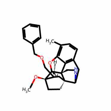 CO[C@]12CC[C@@]3(C[C@@H]1COCc1ccccc1)C1Cc4ccc(C)c5c4[C@@]3(CCN1)[C@H]2O5